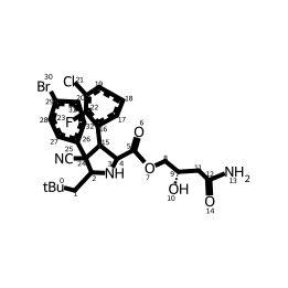 CC(C)(C)CC1NC(C(=O)OC[C@@H](O)CC(N)=O)C(c2cccc(Cl)c2F)C1(C#N)c1ccc(Br)cc1